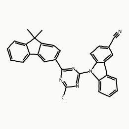 CC1(C)c2ccccc2-c2cc(-c3nc(Cl)nc(-n4c5ccccc5c5cc(C#N)ccc54)n3)ccc21